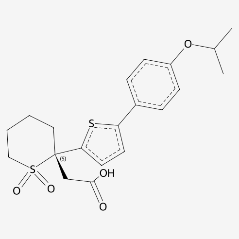 CC(C)Oc1ccc(-c2ccc([C@@]3(CC(=O)O)CCCCS3(=O)=O)s2)cc1